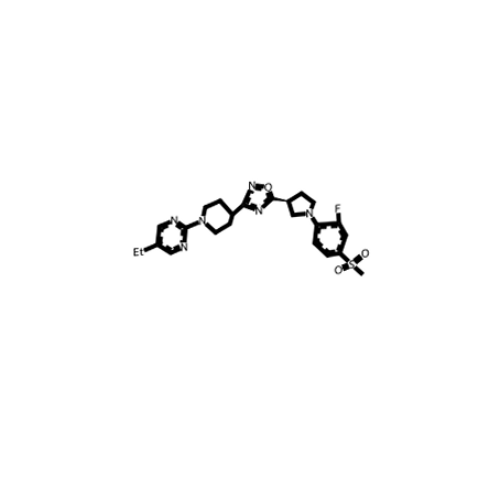 CCc1cnc(N2CCC(c3noc([C@H]4CCN(c5ccc(S(C)(=O)=O)cc5F)C4)n3)CC2)nc1